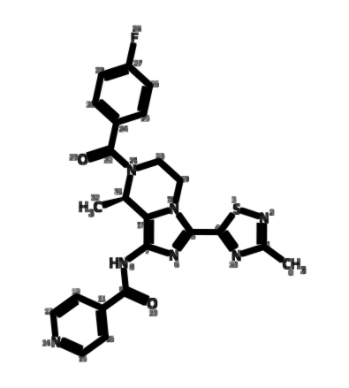 Cc1nsc(-c2nc(NC(=O)c3ccncc3)c3n2CCN(C(=O)c2ccc(F)cc2)[C@@H]3C)n1